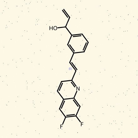 C=CC(O)c1cccc(/C=C/c2ccc3cc(F)c(F)cc3n2)c1